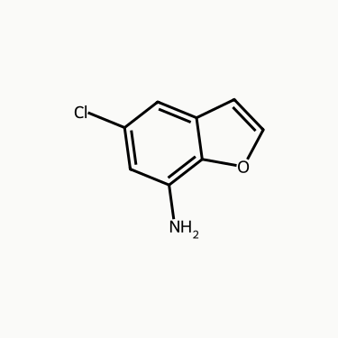 Nc1cc(Cl)cc2ccoc12